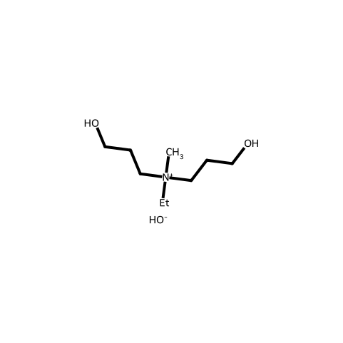 CC[N+](C)(CCCO)CCCO.[OH-]